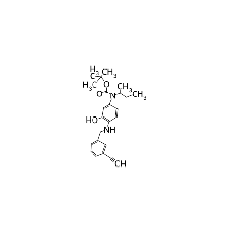 C#Cc1cccc(CNc2ccc(N(C(=O)OC(C)(C)C)C(C)CC)cc2O)c1